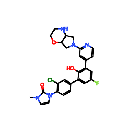 Cn1ccn(-c2ccc(-c3cc(F)cc(-c4ccnc(N5CC6NCCOC6C5)c4)c3O)cc2Cl)c1=O